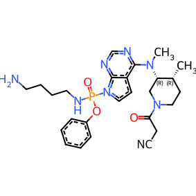 C[C@@H]1CCN(C(=O)CC#N)C[C@@H]1N(C)c1ncnc2c1ccn2P(=O)(NCCCCN)Oc1ccccc1